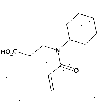 C=CC(=O)N(CCC(=O)O)C1CCCCC1